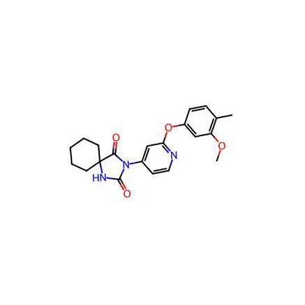 COc1cc(Oc2cc(N3C(=O)NC4(CCCCC4)C3=O)ccn2)ccc1C